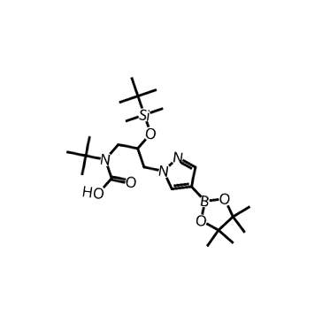 CC(C)(C)N(CC(Cn1cc(B2OC(C)(C)C(C)(C)O2)cn1)O[Si](C)(C)C(C)(C)C)C(=O)O